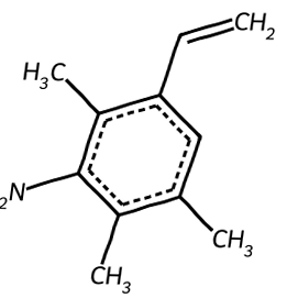 C=Cc1cc(C)c(C)c(N)c1C